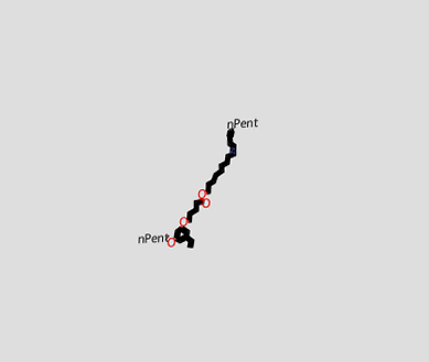 C=Cc1cc(OCCCCC)cc(OCCCCC(=O)OCCCCCCCC/C=C\CC#CCCCCC)c1